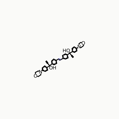 C#CC(O)(c1ccc(/C=C/c2ccc(C(O)(C#C)c3ccc(N4CCOCC4)cc3)cc2)cc1)c1ccc(N2CCOCC2)cc1